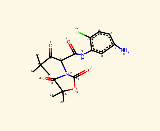 CC(C)(C)C(=O)C(C(=O)Nc1cc(N)ccc1Cl)N1C(=O)OC(C)(C)C1=O